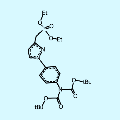 CCOP(=O)(Cc1ccn(-c2ccc(N(C(=O)OC(C)(C)C)C(=O)OC(C)(C)C)cc2)n1)OCC